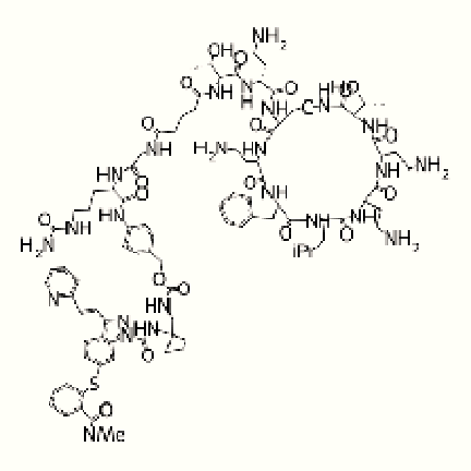 CNC(=O)c1ccccc1Sc1ccc2c(/C=C/c3ccccn3)nn(C(=O)NC3(CNC(=O)OCc4ccc(NC(=O)C(CCCNC(N)=O)NC(=O)CNC(=O)CCCC(=O)N[C@H](C(=O)N[C@H](CCN)C(=O)N[C@H]5CCNC(=O)C([C@@H](C)O)NC(=O)[C@@H](CCN)NC(=O)[C@@H](CCN)NC(=O)[C@@H](CC(C)C)NC(=O)[C@@H](Cc6ccccc6)NC(=O)C(CCN)NC5=O)[C@H](C)O)cc4)CCC3)c2c1